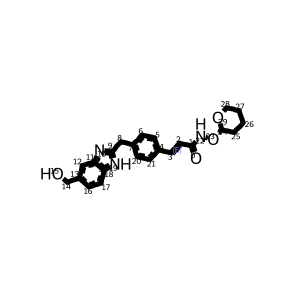 O=C(/C=C/c1ccc(Cc2nc3cc(CO)ccc3[nH]2)cc1)NOC1CCCCO1